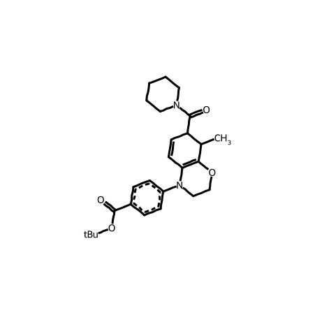 CC1C2=C(C=CC1C(=O)N1CCCCC1)N(c1ccc(C(=O)OC(C)(C)C)cc1)CCO2